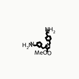 COC(=O)c1cn(Cc2ccc(C=NN)cc2)cc1Cc1cccc(C=NN)c1